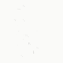 Cc1cc2[nH]c3ccc4nc5ccccc5c4c3nc2c(-c2ccccc2P(=O)(c2ccccc2)c2c(C)c(C)cc3[nH]c4ccc5nc6ccccc6c5c4nc23)c1C